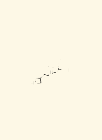 COCC(C)CN(N)CCC1=CNC1